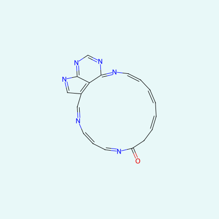 O=C1C\C=C/C=C\C=C/N=c2/ncnc3c2=C(C=N3)\C=N/C=C\C=N/1